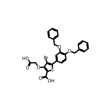 O=C(O)COc1c(C(=O)O)sc(-c2ccc(OCc3ccccc3)c(OCc3ccccc3)c2)c1Br